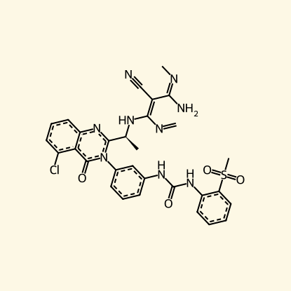 C=N/C(N[C@@H](C)c1nc2cccc(Cl)c2c(=O)n1-c1cccc(NC(=O)Nc2ccccc2S(C)(=O)=O)c1)=C(C#N)\C(N)=N/C